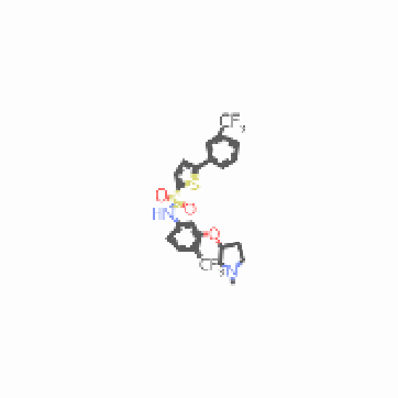 CN1CCC(Oc2cc(NS(=O)(=O)c3ccc(-c4cccc(C(F)(F)F)c4)s3)ccc2C(F)(F)F)C1